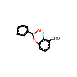 O=Cc1cccc(OB(O)c2ccccc2)c1F